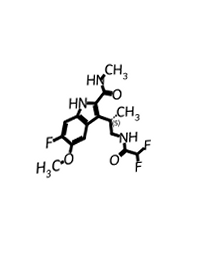 CNC(=O)c1[nH]c2cc(F)c(OC)cc2c1[C@H](C)CNC(=O)C(F)F